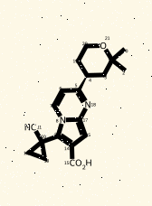 CC1(C)C[C@@H](c2ccn3c(C4(C#N)CC4)c(C(=O)O)cc3n2)CCO1